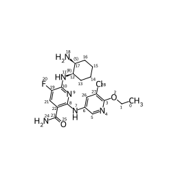 CCOc1ncc(Nc2nc(N[C@@H]3CCCC[C@@H]3N)c(F)cc2C(N)=O)cc1Cl